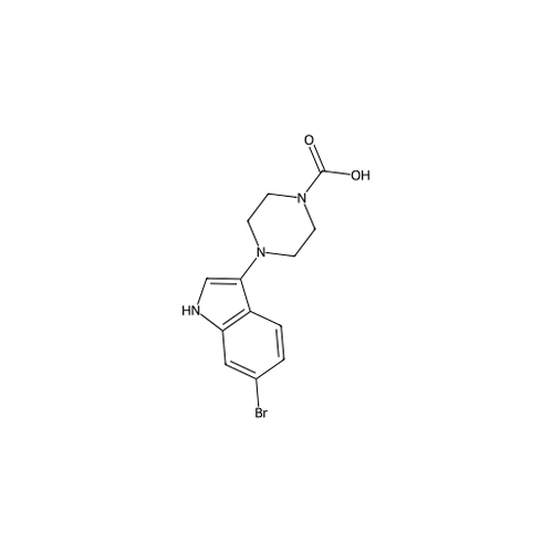 O=C(O)N1CCN(c2c[nH]c3cc(Br)ccc23)CC1